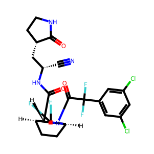 N#C[C@@H](C[C@@H]1CCNC1=O)NC(=O)[C@H]1[C@@H]2CC[C@@H](CC2(F)F)N1C(=O)C(F)(F)c1cc(Cl)cc(Cl)c1